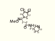 CO/N=C(\CCC(=O)NCc1cccnc1)c1ccc(Cl)c(Cl)c1